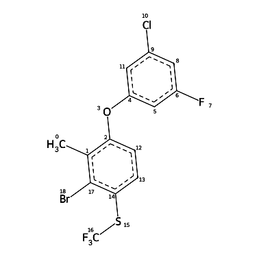 Cc1c(Oc2cc(F)cc(Cl)c2)ccc(SC(F)(F)F)c1Br